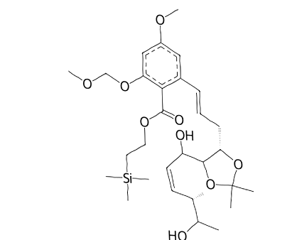 COCOc1cc(OC)cc(/C=C/C[C@@H]2OC(C)(C)OC2C(O)/C=C\[C@H](C)C(C)O)c1C(=O)OCC[Si](C)(C)C